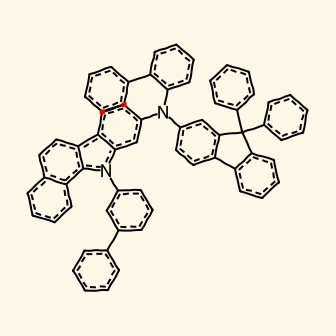 c1ccc(-c2cccc(-n3c4cc(N(c5ccc6c(c5)C(c5ccccc5)(c5ccccc5)c5ccccc5-6)c5ccccc5-c5ccccc5)ccc4c4ccc5ccccc5c43)c2)cc1